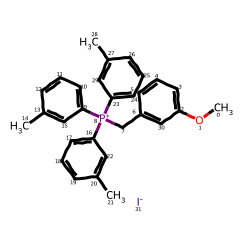 COc1cccc(C[P+](c2cccc(C)c2)(c2cccc(C)c2)c2cccc(C)c2)c1.[I-]